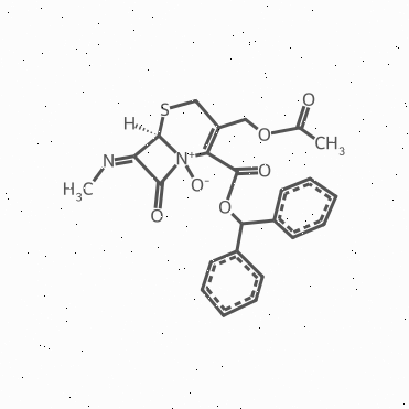 C/N=C1\C(=O)[N+]2([O-])C(C(=O)OC(c3ccccc3)c3ccccc3)=C(COC(C)=O)CS[C@H]12